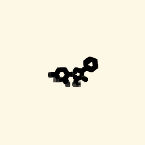 CN1C(c2ccccc2)CN(C2CCC(=O)NC2=O)C1O